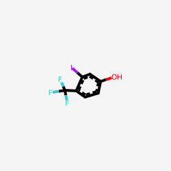 Oc1ccc(C(F)(F)F)c(I)c1